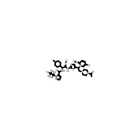 [2H]C([2H])([2H])C([2H])([2H])n1nccc1C(=O)N[C@H](C(=C=O)Nc1ncc(C(CN2CCN(C(C)=O)CC2)N2C=C(Cl)C=CC2=C=O)s1)C1CCC(C)CC1